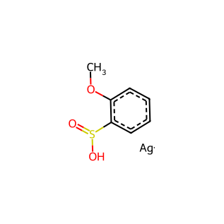 COc1ccccc1S(=O)O.[Ag]